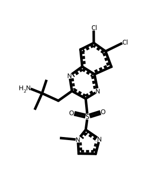 Cn1ccnc1S(=O)(=O)c1nc2cc(Cl)c(Cl)cc2nc1CC(C)(C)N